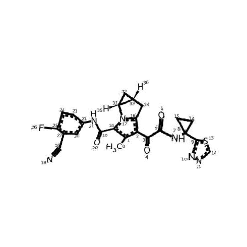 Cc1c(C(=O)C(=O)NC2(c3nncs3)CC2)c2n(c1C(=O)Nc1ccc(F)c(C#N)c1)[C@@H]1C[C@@H]1C2